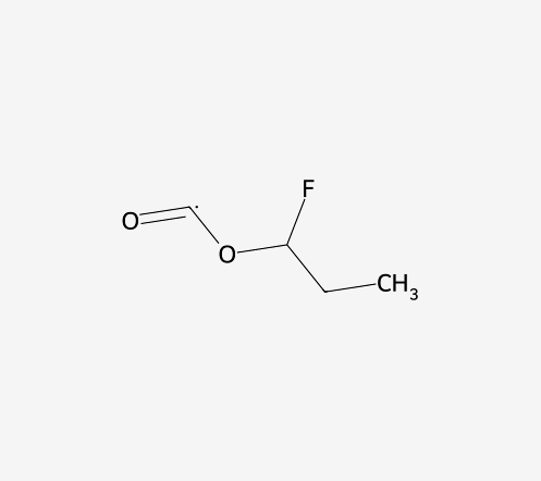 CCC(F)O[C]=O